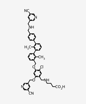 Cc1c(COc2cc(OCc3cncc(C#N)c3)c(CNCCCC(=O)O)cc2Cl)cccc1-c1cccc(-c2ccc(CNCc3cncc(C#N)c3)cc2)c1C